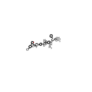 Cc1cc(S(=O)(=O)NC(=O)c2ccc(N3CCN(Cc4ccccc4-c4ccc(Cl)cc4C)CC3)cc2)ccc1N[C@H](CCN(C)C)CSc1ccccc1